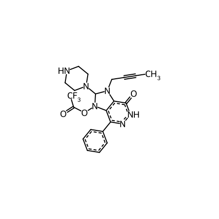 CC#CCN1c2c(c(-c3ccccc3)n[nH]c2=O)N(OC(=O)C(F)(F)F)C1N1CCNCC1